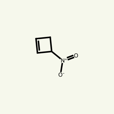 O=[N+]([O-])C1C=CC1